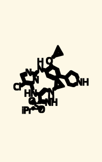 CC(C)S(=O)(=O)C(=N)/C(=C\NC1CC1)Nc1nc(Nc2ccc(C3CCNCC3)cc2OC2CC2)ncc1Cl